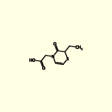 CCC1SC=CN(CC(=O)O)C1=O